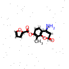 Cc1c(OC(=O)c2ccco2)ccc2c(N)cc(=O)oc12